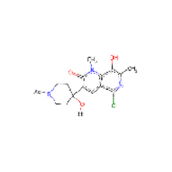 CCOC1(c2cc3c(Cl)nc(C)c(O)c3n(C)c2=O)CCN(C(C)=O)CC1